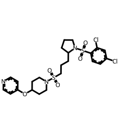 O=S(=O)(CCCC1CCCN1S(=O)(=O)c1ccc(Cl)cc1Cl)N1CCC(Oc2ccncc2)CC1